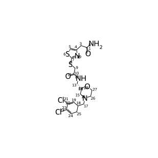 NC(=O)Cc1csc(SCC(=O)NC[C@H]2CN(CC3C=C(Cl)C(Cl)=CC3)CCO2)n1